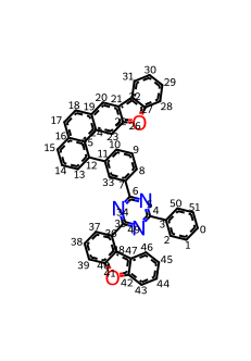 c1ccc(-c2nc(-c3cccc(-c4cccc5ccc6cc7c(cc6c45)oc4ccccc47)c3)nc(-c3cccc4oc5ccccc5c34)n2)cc1